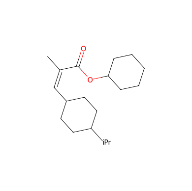 CC(=CC1CCC(C(C)C)CC1)C(=O)OC1CCCCC1